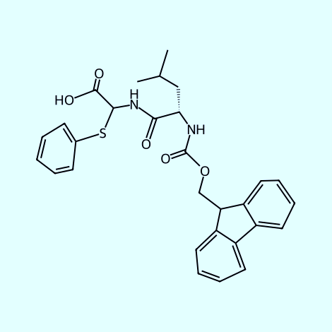 CC(C)C[C@H](NC(=O)OCC1c2ccccc2-c2ccccc21)C(=O)NC(Sc1ccccc1)C(=O)O